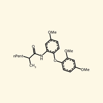 CCCCCC(C)C(=O)Nc1cc(OC)ccc1Oc1ccc(OC)cc1OC